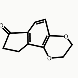 O=C1CCc2c1ccc1c2OCCO1